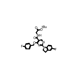 CC(C)(C)OC(=O)CNC(=O)c1cnc(N2CCc3cc(F)ccc32)nc1OCc1ccc(F)cc1